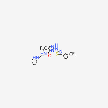 O=C(NCCCNC1CCCCC1)c1nc(Nc2nc(-c3cccc(C(F)(F)F)c3)cs2)ncc1C(F)(F)F